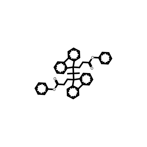 CC(C)(C1(CCC(=O)Oc2ccccc2)c2ccccc2-c2ccccc21)C1(CCC(=O)Oc2ccccc2)c2ccccc2-c2ccccc21